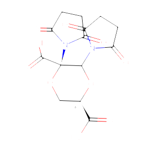 O=C(O)[C@H]1CO[C@@](C(=O)O)(N2C(=O)CCC2=O)C(N2C(=O)CCC2=O)O1